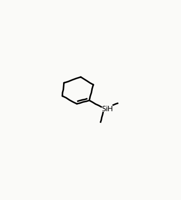 C[SiH](C)C1=CCCCC1